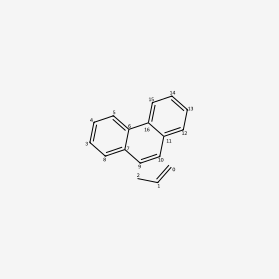 C=CC.c1ccc2c(c1)ccc1ccccc12